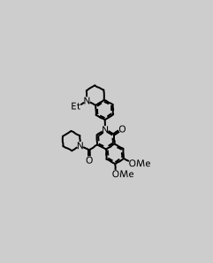 CCN1CCCc2ccc(-n3cc(C(=O)N4CCCCC4)c4cc(OC)c(OC)cc4c3=O)cc21